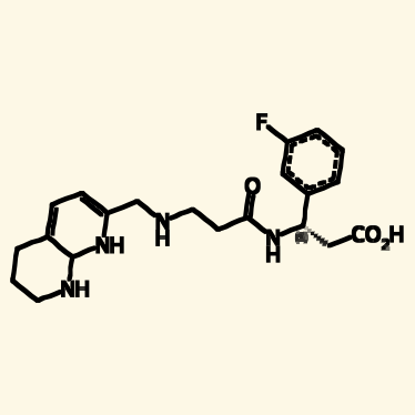 O=C(O)C[C@H](NC(=O)CCNCC1=CC=C2CCCNC2N1)c1cccc(F)c1